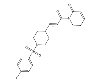 O=C1C=CCCN1C(=O)/C=C/C1CCN(S(=O)(=O)c2ccc(F)cc2)CC1